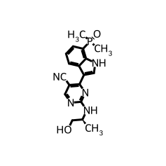 C[C@@H](CO)Nc1ncc(C#N)c(-c2c[nH]c3c(P(C)(C)=O)cccc23)n1